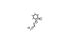 CC=COc1c[c]ccc1Cl